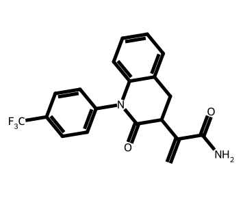 C=C(C(N)=O)C1Cc2ccccc2N(c2ccc(C(F)(F)F)cc2)C1=O